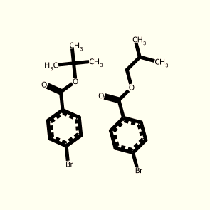 CC(C)(C)OC(=O)c1ccc(Br)cc1.CC(C)COC(=O)c1ccc(Br)cc1